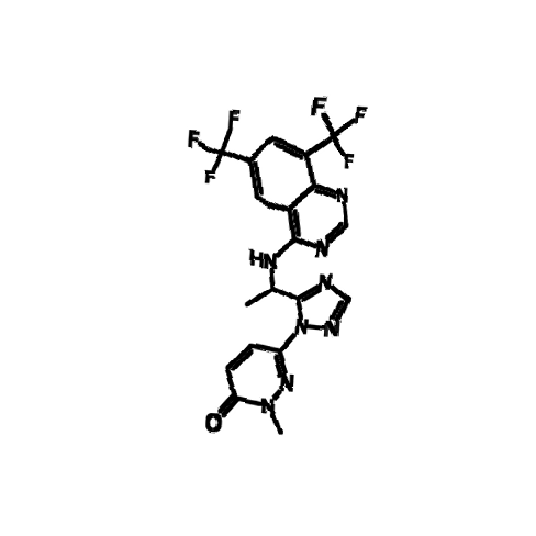 CC(Nc1ncnc2c(C(F)(F)F)cc(C(F)(F)F)cc12)c1ncnn1-c1ccc(=O)n(C)n1